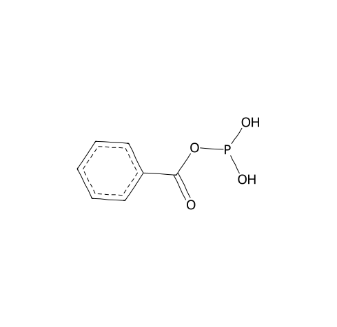 O=C(OP(O)O)c1ccccc1